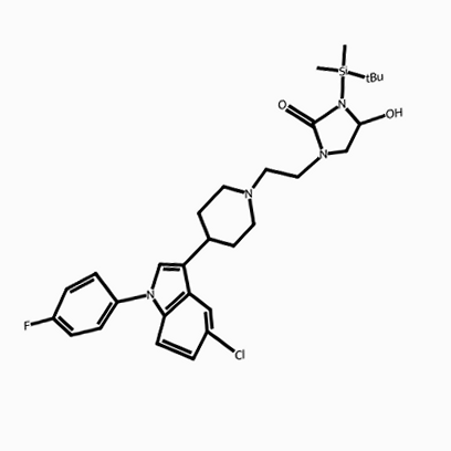 CC(C)(C)[Si](C)(C)N1C(=O)N(CCN2CCC(c3cn(-c4ccc(F)cc4)c4ccc(Cl)cc34)CC2)CC1O